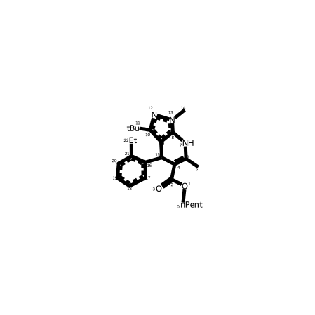 CCCCCOC(=O)C1=C(C)Nc2c(c(C(C)(C)C)nn2C)C1c1ccccc1CC